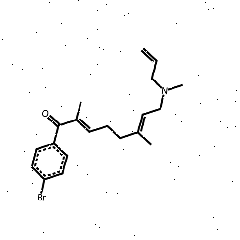 C=CCN(C)CC=C(C)CCC=C(C)C(=O)c1ccc(Br)cc1